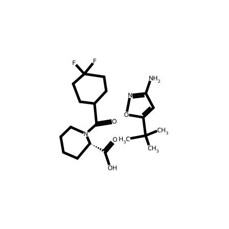 CC(C)(C)c1cc(N)no1.O=C(O)[C@@H]1CCCCN1C(=O)C1CCC(F)(F)CC1